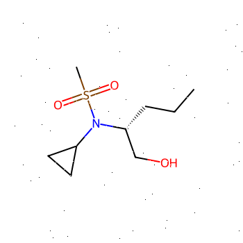 CCC[C@H](CO)N(C1CC1)S(C)(=O)=O